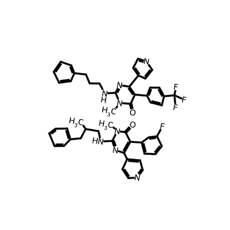 CC(CNc1nc(-c2ccncc2)c(-c2cccc(F)c2)c(=O)n1C)Cc1ccccc1.Cn1c(NCCCc2ccccc2)nc(-c2ccncc2)c(-c2ccc(C(F)(F)F)cc2)c1=O